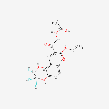 CCOC(=O)C(=Cc1cccc2c1OC(F)C(F)(F)O2)C(=O)COC(C)=O